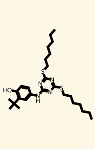 CCCCCCCSc1nc(Nc2ccc(O)c(C(C)(C)C)c2)nc(SCCCCCCC)n1